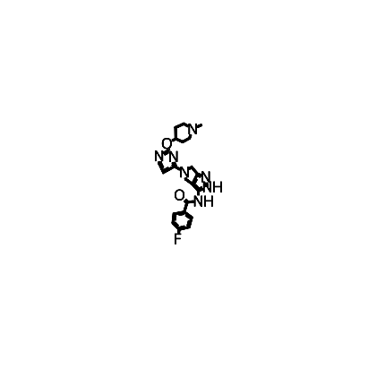 CN1CCC(Oc2nccc(N3Cc4n[nH]c(NC(=O)c5ccc(F)cc5)c4C3)n2)CC1